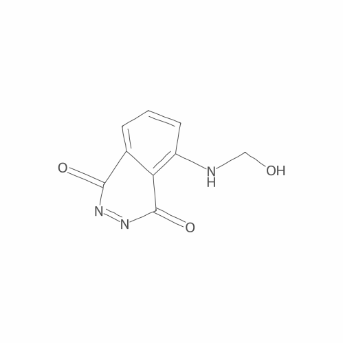 O=C1N=NC(=O)c2c(NCO)cccc21